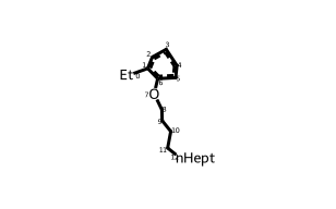 [CH2]Cc1ccccc1OCCCCCCCCCCC